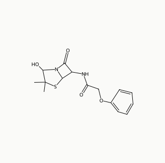 CC1(C)SC2C(NC(=O)COc3ccccc3)C(=O)N2C1O